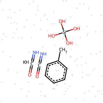 Cc1ccccc1.N=C=O.N=C=O.O[Si](O)(O)O.[KH]